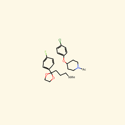 CC(=O)N1CCC(Oc2ccc(Cl)cc2)CC1.CNCCCC1(c2ccc(F)cc2)OCCO1